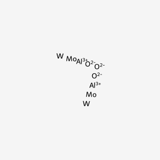 [Al+3].[Al+3].[Mo].[Mo].[O-2].[O-2].[O-2].[W].[W]